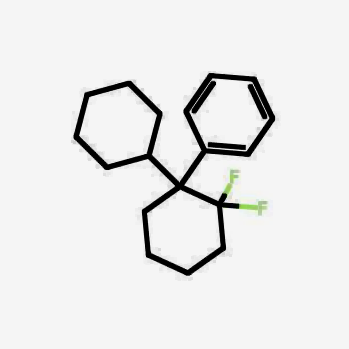 FC1(F)CCCCC1(c1ccccc1)C1CCCCC1